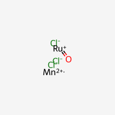 [Cl-].[Cl-].[Cl-].[Mn+2].[O]=[Ru+]